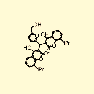 CC(C)c1cccc2c(O)c(C(c3ccc(CO)o3)c3c(O)c4cccc(C(C)C)c4oc3=O)c(=O)oc12